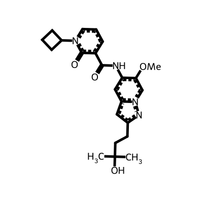 COc1cn2nc(CCC(C)(C)O)cc2cc1NC(=O)c1cccn(C2CCC2)c1=O